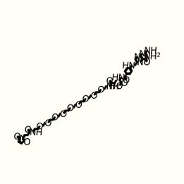 Nc1nc2ncc(CNc3ccc(C(=O)N[C@@H](CCC(=O)NCCOCCOCCOCCOCCOCCOCCOCCOCCOCCNC(=O)CCN4C(=O)C=CC4=O)C(=O)O)cc3)nc2c(=O)[nH]1